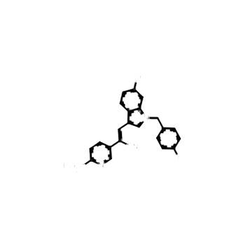 N#C/C(=C\c1cn(Cc2ccc(F)cc2)c2cc(Cl)ccc12)c1ccc(C(=O)O)nc1